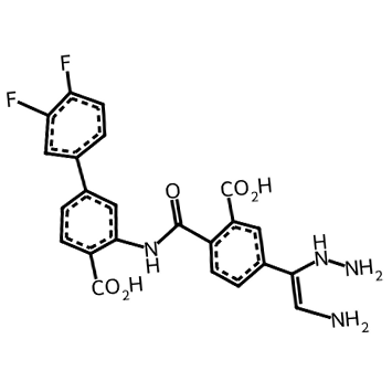 N/C=C(\NN)c1ccc(C(=O)Nc2cc(-c3ccc(F)c(F)c3)ccc2C(=O)O)c(C(=O)O)c1